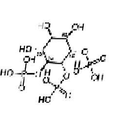 O=P(O)(O)O[C@@H]1[C@H](OP(=O)(O)O)[C@@H](OP(=O)(O)O)[C@H](O)[C@@H](O)[C@H]1O